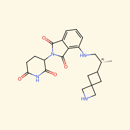 C[C@@H](CNc1cccc2c1C(=O)N(C1CCC(=O)NC1=O)C2=O)C1CC2(CNC2)C1